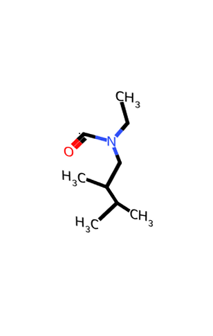 CCN([C]=O)CC(C)C(C)C